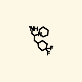 CNCC(CC1CCC(F)(F)CC1)N1CCCCC1